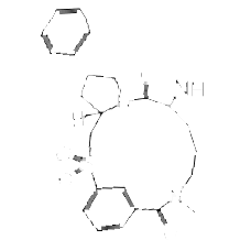 CN1CCC[C@H](N)C(=O)N2C[C@@H](c3ccccc3)C[C@H]2CS(=O)(=O)c2cccc(c2)C1=O